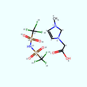 CN1C=CN(CC(=O)O)C1.O=S(=O)(NS(=O)(=O)C(F)(F)F)C(F)(F)F